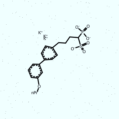 CCCOc1cccc(-c2ccc(CCCC(P(=O)([O-])[O-])S(=O)(=O)[O-])cc2)c1.[K+].[K+].[K+]